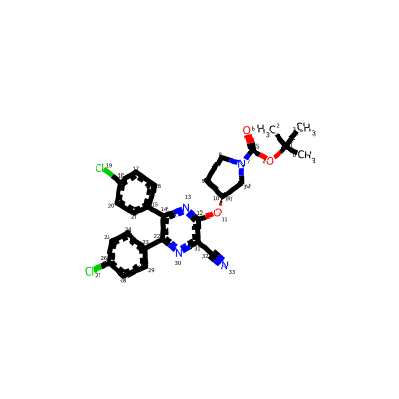 CC(C)(C)OC(=O)N1CC[C@@H](Oc2nc(-c3ccc(Cl)cc3)c(-c3ccc(Cl)cc3)nc2C#N)C1